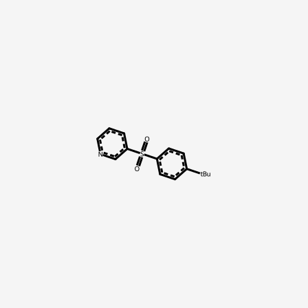 CC(C)(C)c1ccc(S(=O)(=O)c2cccnc2)cc1